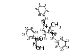 Cc1n(N=Cc2ccccc2)cc(CO)[n+]1N=Cc1ccccc1.O/N=C/c1ccccc1